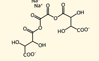 O=C(OC(=O)C(O)C(O)C(=O)[O-])C(=O)OC(=O)C(O)C(O)C(=O)[O-].[Na+].[Na+]